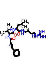 CC(C)CC(NC(=O)C(NC(=O)/C=C/Cc1ccccc1)C(C)C)C(=O)NCCCCNC(=N)N